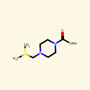 COC(=O)N1CCN(C[SH](C)C)CC1